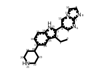 CCc1c(-c2cnc3nccn3c2)[nH]c2ccc(C3CCNCC3)cc12